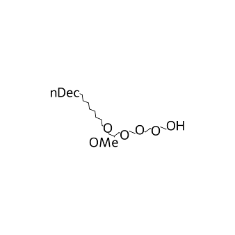 CCCCCCCCCCCCCCCCCCOCC(COCCOCCOCCO)OC